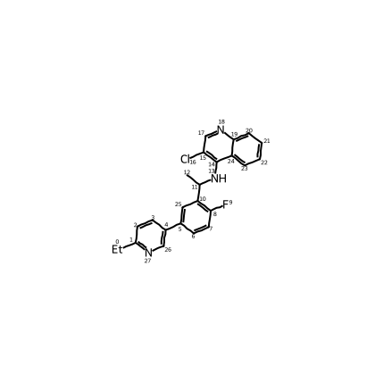 CCc1ccc(-c2ccc(F)c(C(C)Nc3c(Cl)cnc4ccccc34)c2)cn1